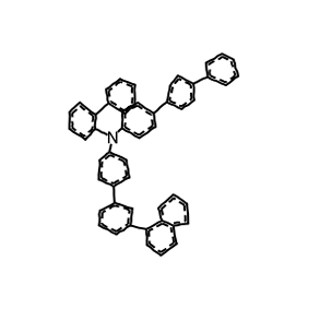 c1ccc(-c2ccc(-c3ccc(N(c4ccc(-c5cccc(-c6cccc7ccccc67)c5)cc4)c4ccccc4-c4ccccc4)cc3)cc2)cc1